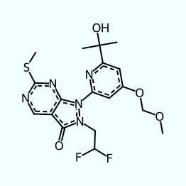 COCOc1cc(-n2c3nc(SC)ncc3c(=O)n2CC(F)F)nc(C(C)(C)O)c1